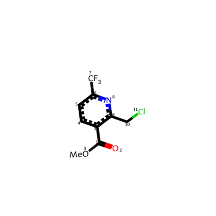 COC(=O)c1ccc(C(F)(F)F)nc1CCl